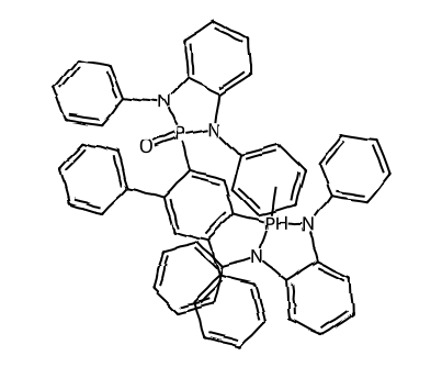 C[PH]1(c2cc(P3(=O)N(c4ccccc4)c4ccccc4N3c3ccccc3)c(-c3ccccc3)cc2-c2ccccc2)N(c2ccccc2)c2ccccc2N1c1ccccc1